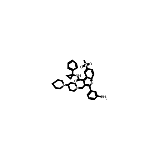 Bc1cccc(-c2nc3ccc(S(C)(=O)=O)cc3c(C(=O)NC3(c4ccccc4)CC3)c2CN2CCC(N3CCCCC3)CC2)c1